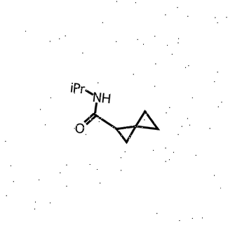 CC(C)NC(=O)C1CC12CC2